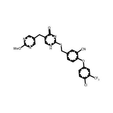 COc1ncc(Cc2c[nH]c(SCc3ccc(Oc4ccc(Cl)c(C(F)(F)F)c4)c(C#N)c3)nc2=O)cn1